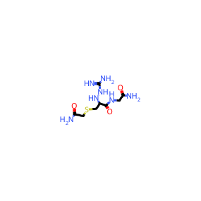 N=C(N)NNC(CSCC(N)=O)C(=O)NCC(N)=O